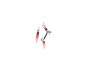 [O]=[Cr][Mo]=[O].[O]=[V]